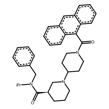 CC(C)N(Cc1ccccc1)C(=O)[C@@H]1CCCN(C2CCN(C(=O)c3c4ccccc4cc4ccccc34)CC2)C1